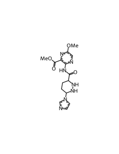 COC(=O)c1nc(OC)cnc1NC(=O)C1CCC(n2ccnc2)NN1